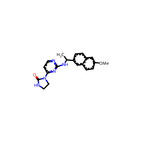 COc1ccc2cc(C(C)Nc3nccc(N4CCNC4=O)n3)ccc2c1